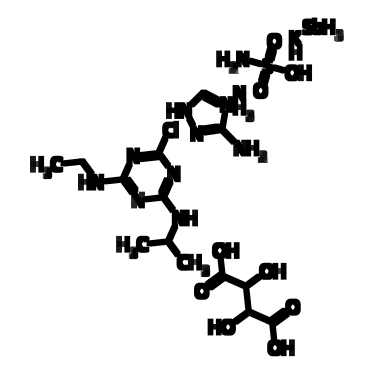 CCNc1nc(Cl)nc(NC(C)C)n1.N.NS(=O)(=O)O.Nc1nc[nH]n1.O=C(O)C(O)C(O)C(=O)O.[KH].[SbH3]